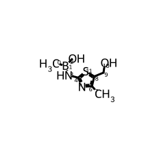 CB(O)Nc1nc(C)c(CO)s1